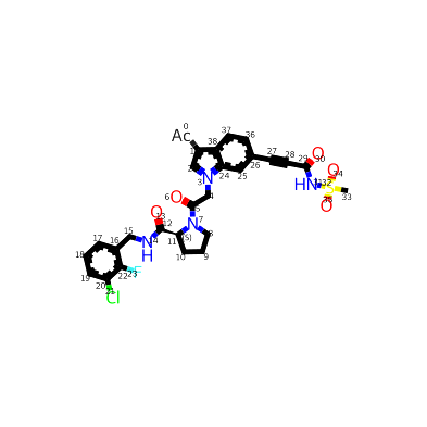 CC(=O)c1cn(CC(=O)N2CCC[C@H]2C(=O)NCc2cccc(Cl)c2F)c2cc(C#CC(=O)NS(C)(=O)=O)ccc12